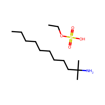 CCCCCCCCCC(C)(C)N.CCOS(=O)(=O)O